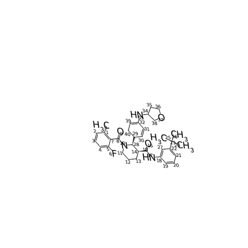 Cc1cccc(F)c1C(=O)N1CCC[C@H](C(=O)Nc2cccc(C(C)(C)C)c2)[C@@H]1C1C=CC(NC2CCOC2)=CC1